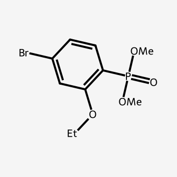 CCOc1cc(Br)ccc1P(=O)(OC)OC